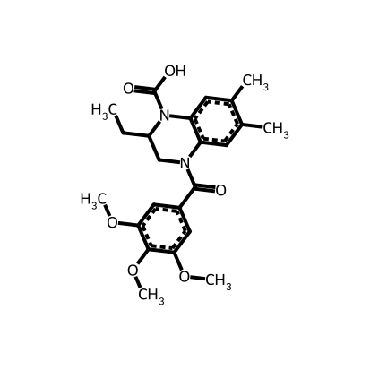 CCC1CN(C(=O)c2cc(OC)c(OC)c(OC)c2)c2cc(C)c(C)cc2N1C(=O)O